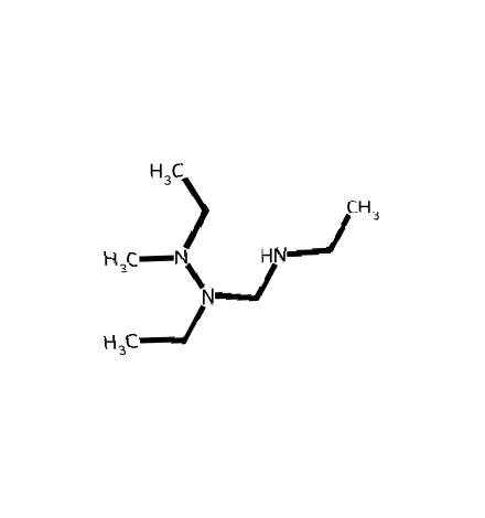 CCNCN(CC)N(C)CC